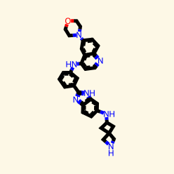 c1cc(Nc2ccnc3ccc(N4CCOCC4)cc23)cc(-c2nc3ccc(NC4CC5(CNC5)C4)cc3[nH]2)c1